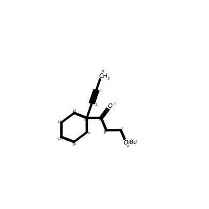 CC#CC1(C(=O)[CH]COCC(C)C)CCCCC1